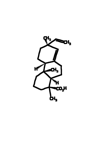 C=C[C@@]1(C)C=C2CC[C@@H]3[C@](C)(CCC[C@]3(C)C(=O)O)[C@H]2CC1